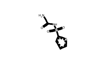 NC(=O)NS(=O)(=O)c1cccs1